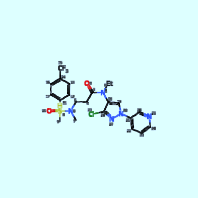 CCN(C(=O)CCN(C)[SH](C)(=O)c1ccc(C(F)(F)F)cc1)c1cn(-c2cccnc2)nc1Cl